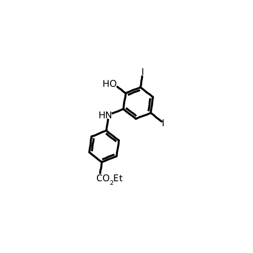 CCOC(=O)c1ccc(Nc2cc(I)cc(I)c2O)cc1